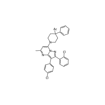 CC(=O)C1(c2ccccc2)CCN(c2cc(C)nc3c(-c4ccc(Cl)cc4)c(-c4ccccc4Cl)nn23)CC1